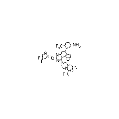 C=C(F)C(=O)N1CCN(c2nc(OC[C@@H]3CC(F)(F)CN3C)nc3cc(-c4cc(N)ccc4C(F)(F)F)c4ccoc4c23)C[C@@H]1CC#N